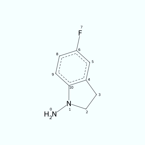 NN1CCc2cc(F)ccc21